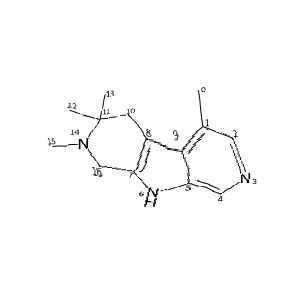 Cc1cncc2[nH]c3c(c12)CC(C)(C)N(C)C3